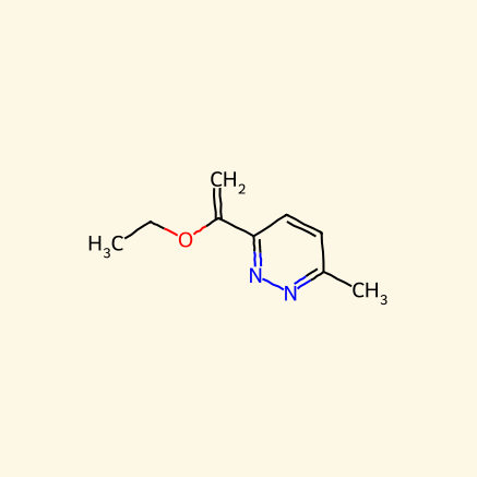 C=C(OCC)c1ccc(C)nn1